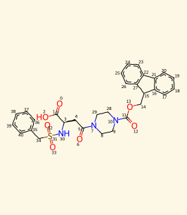 O=C(O)[C@@H](CC(=O)N1CCN(C(=O)OCC2c3ccccc3-c3ccccc32)CC1)NS(=O)(=O)Cc1ccccc1